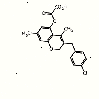 CC1=C(Cc2ccc(Cl)cc2)COc2cc(C)cc(OC(=O)C(=O)O)c21